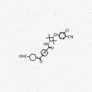 CC1(C)[C@H](NC(=O)C23CCC(C(=O)N4CCC(C=O)CC4)(CC2)CC3)C(C)(C)[C@H]1Oc1ccc(C#N)c(Cl)c1